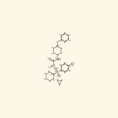 O=C(NC1CCN(Cc2ccccc2)CC1)OC[C@H]1CCC[C@@H](C2CC2)N1S(=O)(=O)c1ccc(Cl)cc1